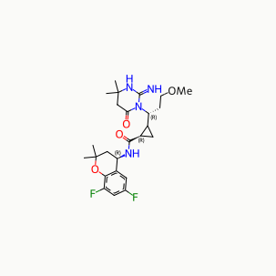 COCC[C@H](C1C[C@H]1C(=O)N[C@@H]1CC(C)(C)Oc2c(F)cc(F)cc21)N1C(=N)NC(C)(C)CC1=O